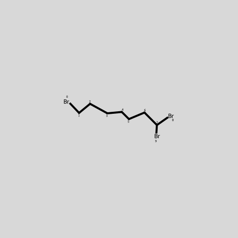 BrCCCCCCC(Br)Br